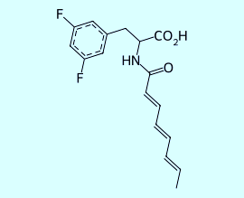 CC=CC=CC=CC(=O)NC(Cc1cc(F)cc(F)c1)C(=O)O